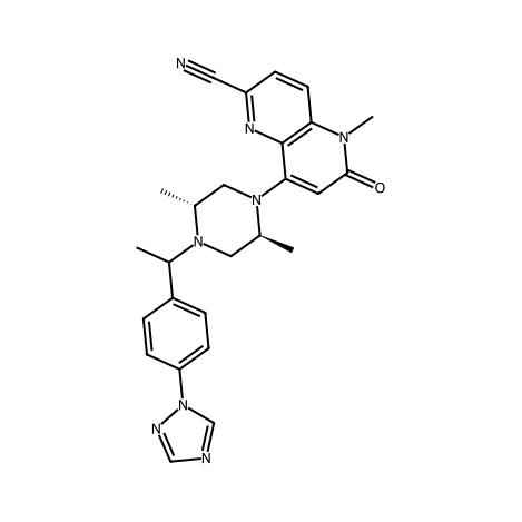 CC(c1ccc(-n2cncn2)cc1)N1C[C@H](C)N(c2cc(=O)n(C)c3ccc(C#N)nc23)C[C@H]1C